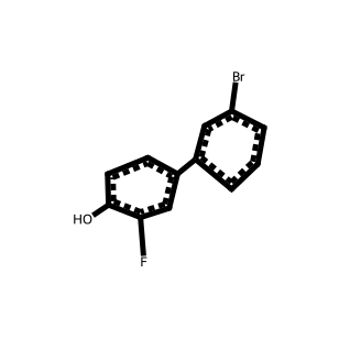 Oc1ccc(-c2cccc(Br)c2)cc1F